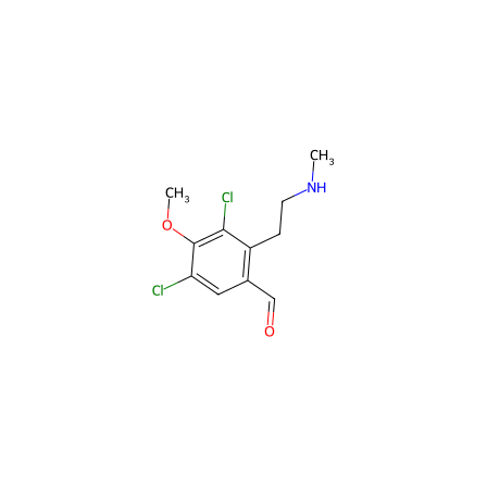 CNCCc1c(C=O)cc(Cl)c(OC)c1Cl